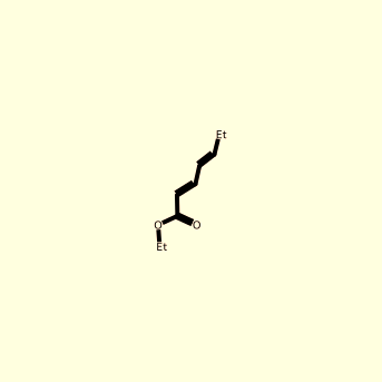 CC/C=C/C=C/C(=O)OCC